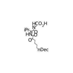 CCCCCCCCCCCCCCC(=O)C(=O)N[C@H](C(=O)NCC(=O)O)C(C)C